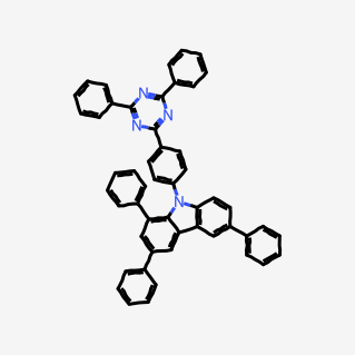 c1ccc(-c2ccc3c(c2)c2cc(-c4ccccc4)cc(-c4ccccc4)c2n3-c2ccc(-c3nc(-c4ccccc4)nc(-c4ccccc4)n3)cc2)cc1